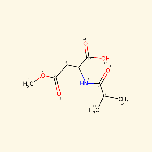 COC(=O)CC(NC(=O)C(C)C)C(=O)O